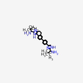 CC(C)(C)C(N)c1nc2c([nH]1)-c1ccc(-c3ccc(-c4c[nH]c([C@@H](N)C(C)(C)C)n4)cc3)cc1CC2